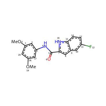 COc1cc(NC(=O)c2cc3cc(F)ccc3[nH]2)cc(OC)c1